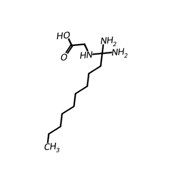 CCCCCCCCCC(N)(N)NCC(=O)O